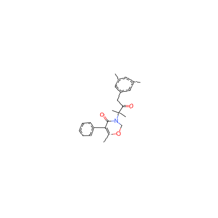 CC1=C(c2ccccc2)C(=O)N(C(C)(C)C(=O)Cc2cc(C)cc(C)c2)CO1